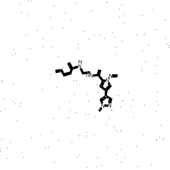 C=C/C=C\C(=C)NCCNC(=C)c1cc(-c2cnn(C)c2)cn1N=C